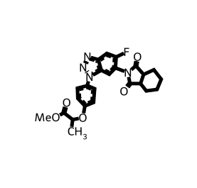 COC(=O)C(C)Oc1ccc(-n2nnc3cc(F)c(N4C(=O)C5CCCCC5C4=O)cc32)cc1